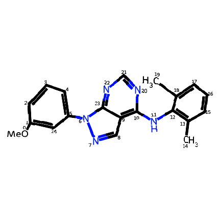 COc1cccc(-n2ncc3c(Nc4c(C)cccc4C)ncnc32)c1